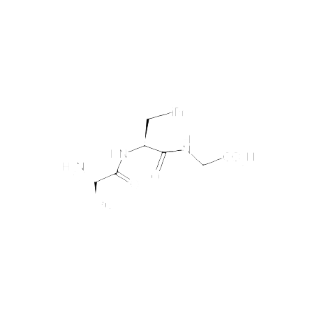 CC[C@H](C)[C@H](N)C(=O)N[C@@H](CC(C)C)C(=O)NCC(=O)O